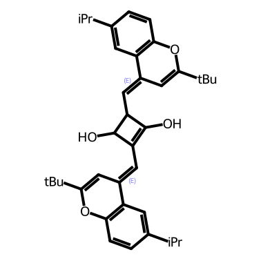 CC(C)c1ccc2c(c1)/C(=C/C1=C(O)C(/C=C3\C=C(C(C)(C)C)Oc4ccc(C(C)C)cc43)C1O)C=C(C(C)(C)C)O2